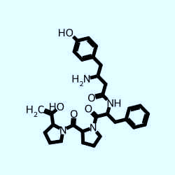 C=C(O)C1CCCN1C(=O)C1CCCN1C(=O)C(Cc1ccccc1)NC(=O)CC(N)Cc1ccc(O)cc1